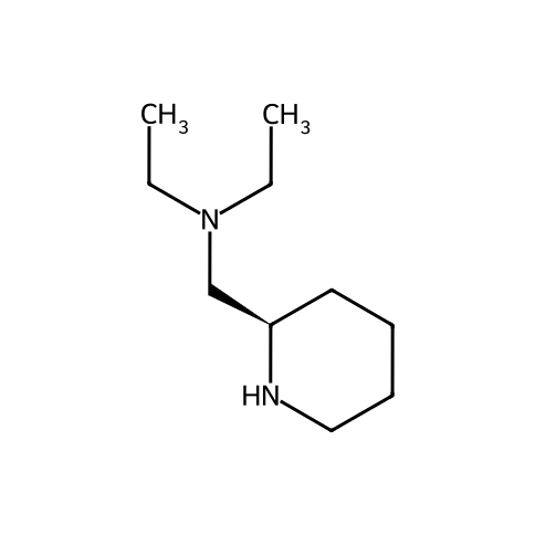 CCN(CC)C[C@H]1CCCCN1